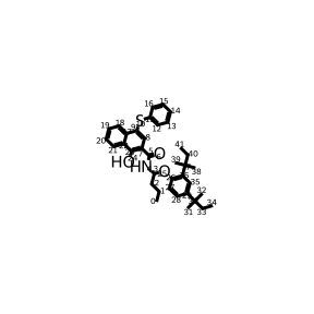 CCCC(NC(=O)c1cc(Sc2ccccc2)c2ccccc2c1O)Oc1ccc(C(C)(C)CC)cc1C(C)(C)CC